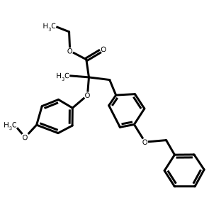 CCOC(=O)C(C)(Cc1ccc(OCc2ccccc2)cc1)Oc1ccc(OC)cc1